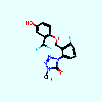 Cn1nnn(-c2cccc(F)c2COc2ccc(O)cc2C(F)F)c1=O